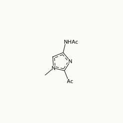 CC(=O)Nc1cn(C)c(C(C)=O)n1